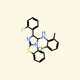 Cc1cccc(Cl)c1NC1C(c2ccccc2F)N=C2Sc3ccccc3N21